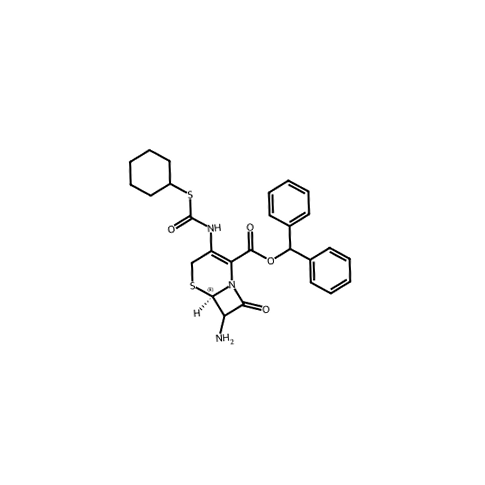 NC1C(=O)N2C(C(=O)OC(c3ccccc3)c3ccccc3)=C(NC(=O)SC3CCCCC3)CS[C@H]12